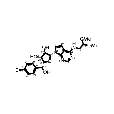 COC(CNc1ncnc2c1ccn2[C@@H]1O[C@H](C(O)c2ccc(Cl)cc2)[C@@H](O)[C@H]1O)OC